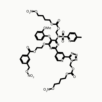 COc1ccccc1Oc1c(OCCOC(=O)c2cccc(CO[N+](=O)[O-])c2)nc(-c2ccnc(-c3nnnn3COC(=O)OCCCCO[N+](=O)[O-])c2)nc1N(COC(=O)OCCCCO[N+](=O)[O-])S(=O)(=O)c1ccc(C)cn1